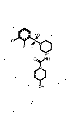 O=C(N[C@H]1CCCN(S(=O)(=O)c2cccc(Cl)c2F)C1)N1CCC(O)CC1